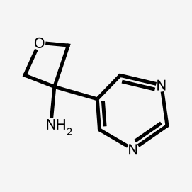 NC1(c2cncnc2)COC1